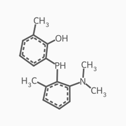 Cc1cccc(Pc2c(C)cccc2N(C)C)c1O